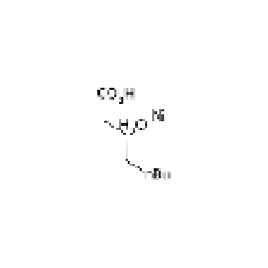 CCCCCCCC(=O)O.O.[Ni]